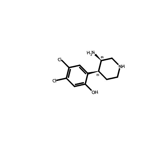 N[C@H]1CNCC[C@H]1c1cc(Cl)c(Cl)cc1O